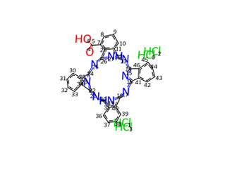 Cl.Cl.Cl.Cl.O=C(O)c1cccc2c3nc4nc(nc5[nH]c(nc6nc(nc([nH]3)c12)-c1ccccc1-6)c1ccccc51)-c1ccccc1-4